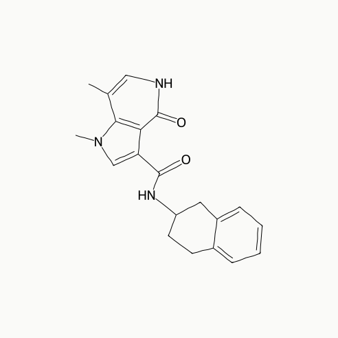 Cc1c[nH]c(=O)c2c(C(=O)NC3CCc4ccccc4C3)cn(C)c12